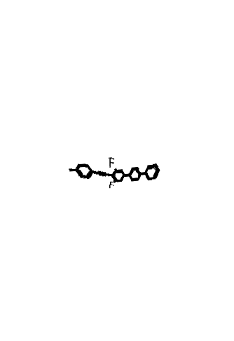 Cc1ccc(C#Cc2c(F)cc(-c3ccc(-c4ccccc4)cc3)cc2F)cc1